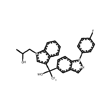 CC(O)Cn1cc(C(O)(c2ccc3c(cnn3-c3ccc(F)cc3)c2)C(F)(F)F)c2ccccc21